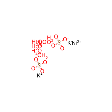 O.O.O.O.O.O.O=S(=O)([O-])[O-].O=S(=O)([O-])[O-].[K+].[K+].[Ni+2]